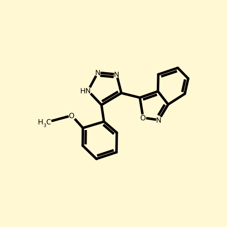 COc1ccccc1-c1[nH]nnc1-c1onc2ccccc12